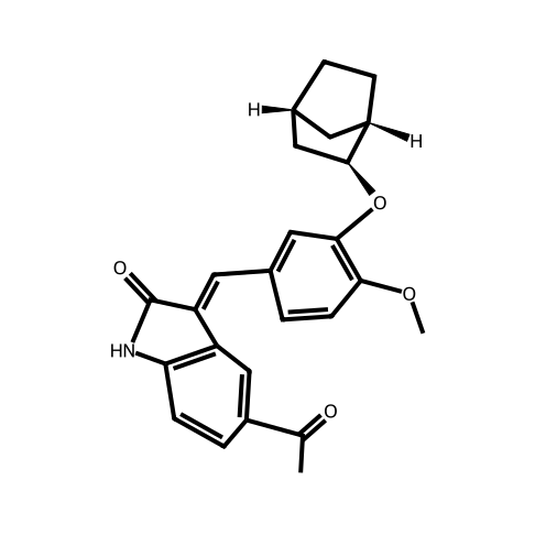 COc1ccc(/C=C2/C(=O)Nc3ccc(C(C)=O)cc32)cc1O[C@H]1C[C@@H]2CC[C@H]1C2